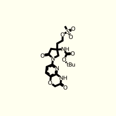 CC(C)(C)OC(=O)NC1(CCOS(C)(=O)=O)CC(=O)N(c2ccc3c(n2)NC(=O)CO3)C1